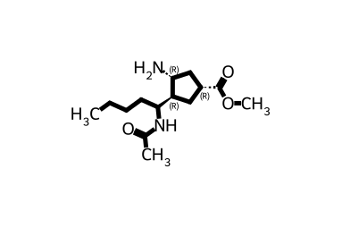 CCCCC(NC(C)=O)[C@@H]1C[C@@H](C(=O)OC)C[C@H]1N